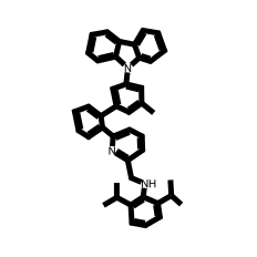 Cc1cc(-c2ccccc2-c2cccc(CNc3c(C(C)C)cccc3C(C)C)n2)cc(-n2c3ccccc3c3ccccc32)c1